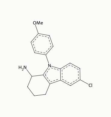 COc1ccc(-n2c3c(c4cc(Cl)ccc42)CCCC3N)cc1